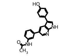 CC(=O)Nc1cccc(-c2cnc3[nH]cc(-c4ccc(O)cc4)c3c2)c1